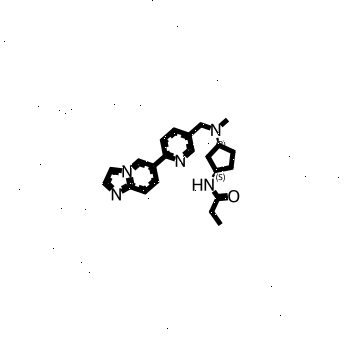 CCC(=O)N[C@H]1CC[C@@H](N(C)Cc2ccc(-c3ccc4nccn4c3)nc2)C1